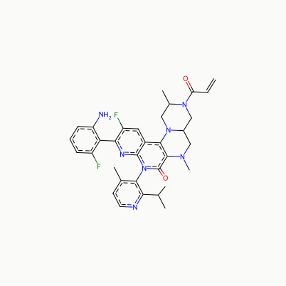 C=CC(=O)N1CC2CN(C)c3c(c4cc(F)c(-c5c(N)cccc5F)nc4n(-c4c(C)ccnc4C(C)C)c3=O)N2CC1C